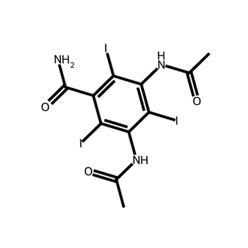 CC(=O)Nc1c(I)c(NC(C)=O)c(I)c(C(N)=O)c1I